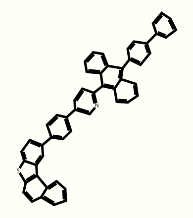 c1ccc(-c2ccc(-c3c4ccccc4c(-c4ccc(-c5ccc(-c6ccc7sc8ccc9ccccc9c8c7c6)cc5)cn4)c4ccccc34)cc2)cc1